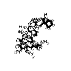 CC[C@H](C)[C@@H]([C@@H](CC(=O)N1CCC[C@H]1[C@H](OC)[C@@H](C)C(=O)N[C@@H](Cc1c[nH]c2ccccc12)C(=O)OC(C)(C)C)OC)N(C)[C@H](C(=O)NC(=O)[C@H](C(C)C)N(C)CCCCCCN)C(C)C